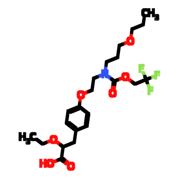 CCCOCCCN(CCOc1ccc(CC(OCC)C(=O)O)cc1)C(=O)OCC(F)(F)F